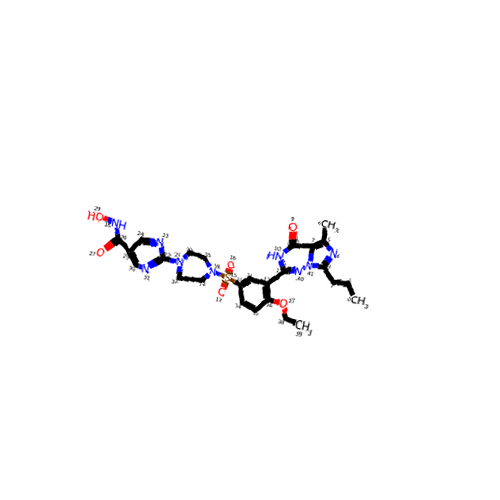 CCCc1nc(C)c2c(=O)[nH]c(-c3cc(S(=O)(=O)N4CCN(c5ncc(C(=O)NO)cn5)CC4)ccc3OCC)nn12